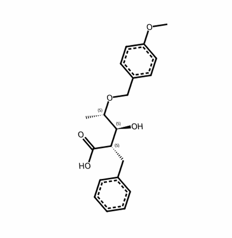 COc1ccc(CO[C@@H](C)[C@@H](O)[C@H](Cc2ccccc2)C(=O)O)cc1